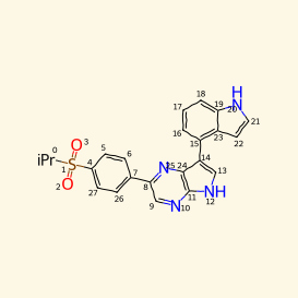 CC(C)S(=O)(=O)c1ccc(-c2cnc3[nH]cc(-c4cccc5[nH]ccc45)c3n2)cc1